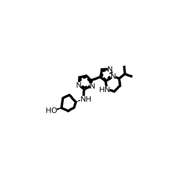 CC(C)C1CCNc2c(-c3ccnc(N[C@H]4CC[C@H](O)CC4)n3)cnn21